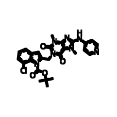 Cn1c(Nc2ccncc2)nc2c1c(=O)n(Cc1cc3cccc(Cl)c3n1C(=O)OC(C)(C)C)c(=O)n2C